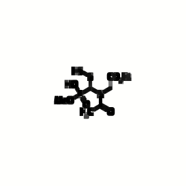 CCOC(=O)CN(C(=O)C(F)(F)F)C(SS)P(=O)(O)OC